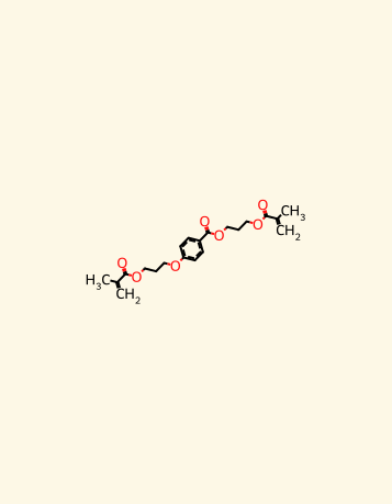 C=C(C)C(=O)OCCCOC(=O)c1ccc(OCCCOC(=O)C(=C)C)cc1